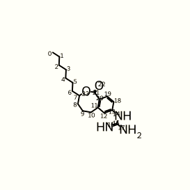 CCCCCCCC1CCCc2cc(NC(=N)N)ccc2C(=O)O1